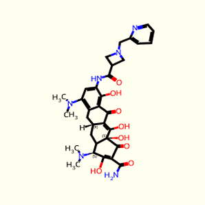 CN(C)c1cc(NC(=O)C2CN(Cc3ccccn3)C2)c(O)c2c1C[C@H]1CC3[C@H](N(C)C)C(O)=C(C(N)=O)C(=O)[C@@]3(O)C(O)=C1C2=O